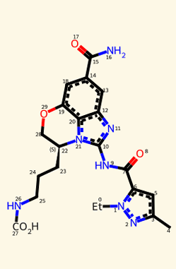 CCn1nc(C)cc1C(=O)Nc1nc2cc(C(N)=O)cc3c2n1[C@@H](CCCNC(=O)O)CO3